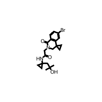 CC(C)(O)CC1(NC(=O)CN2CC3(CC3)c3cc(Br)ccc3C2=O)CC1